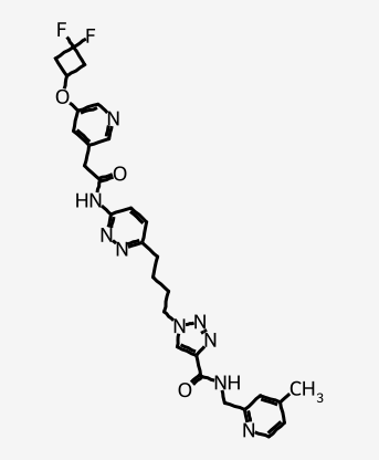 Cc1ccnc(CNC(=O)c2cn(CCCCc3ccc(NC(=O)Cc4cncc(OC5CC(F)(F)C5)c4)nn3)nn2)c1